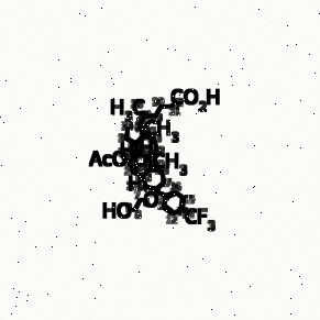 CC(=O)O[C@@H]1C[C@@H]2C[C@](OCCO)(c3ccc(C(F)(F)F)cc3)CC[C@]2(C)[C@H]2CC[C@]3(C)[C@@H]([C@H](C)CCCC(=O)O)CC[C@H]3[C@H]12